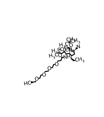 C#CCOCCOCCOCCOCCC(=O)N[C@H]([C@H]1[C@H](/C=C\C)C[C@H](C#N)N1C(=O)OC(C)(C)C)[C@](C)(CCC)OC